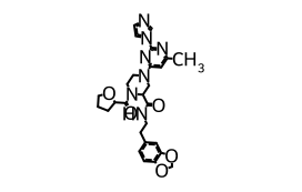 Cc1cc(N2CCN(C(=O)C3CCCO3)C(C(=O)NCCc3ccc4c(c3)OCO4)C2)nc(-n2ccnc2)n1